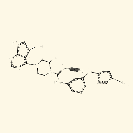 Cc1c[nH]c2ncnc(N3CCN(C(=NC#N)Nc4cccc(Oc5ccc(F)cc5)c4)C(C)C3)c12